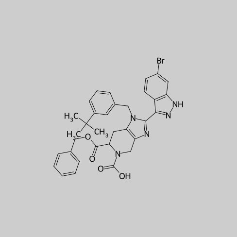 CC(C)(C)c1cccc(Cn2c(-c3n[nH]c4cc(Br)ccc34)nc3c2CC(C(=O)OCc2ccccc2)N(C(=O)O)C3)c1